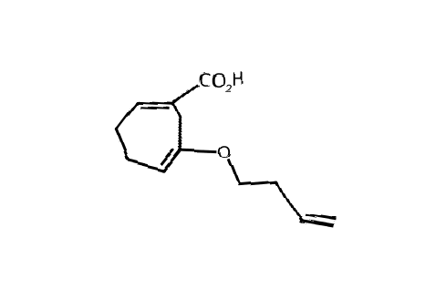 C=CCCOC1=CCCC=C1C(=O)O